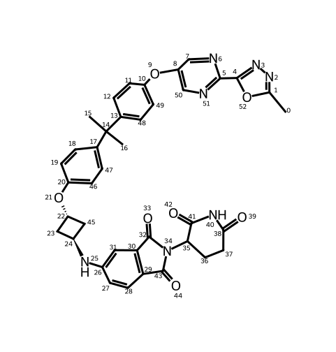 Cc1nnc(-c2ncc(Oc3ccc(C(C)(C)c4ccc(O[C@H]5C[C@H](Nc6ccc7c(c6)C(=O)N(C6CCC(=O)NC6=O)C7=O)C5)cc4)cc3)cn2)o1